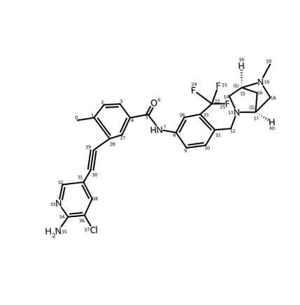 Cc1ccc(C(=O)Nc2ccc(CN3C[C@@H]4C[C@H]3CN4C)c(C(F)(F)F)c2)cc1C#Cc1cnc(N)c(Cl)c1